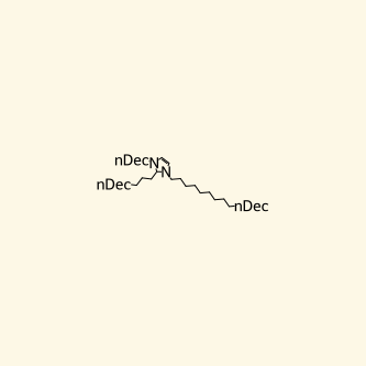 CCCCCCCCCCCCCCCCCCCN1C=CN(CCCCCCCCCC)C1CCCCCCCCCCCCC